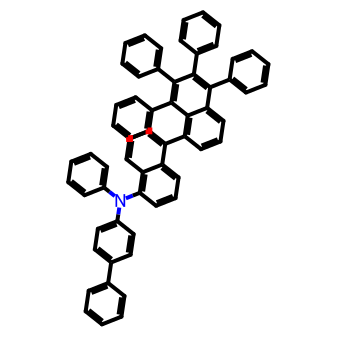 c1ccc(-c2ccc(N(c3ccccc3)c3cccc4c(-c5cccc6c(-c7ccccc7)c(-c7ccccc7)c(-c7ccccc7)c(-c7ccccc7)c56)cccc34)cc2)cc1